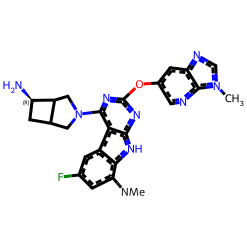 CNc1cc(F)cc2c1[nH]c1nc(Oc3cnc4c(c3)ncn4C)nc(N3CC4C[C@@H](N)C4C3)c12